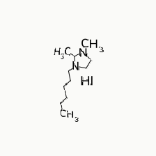 CCCCCCN1CCN(C)C1C.I